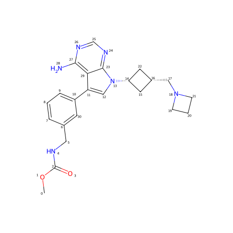 COC(=O)NCc1cccc(-c2cn([C@H]3C[C@@H](CN4CCC4)C3)c3ncnc(N)c23)c1